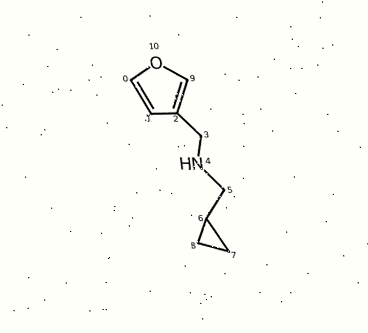 c1cc(CNCC2CC2)co1